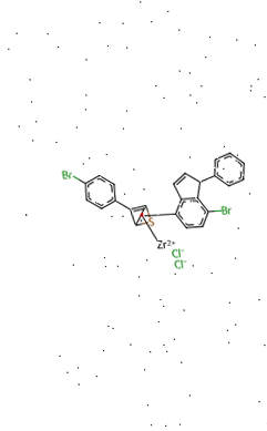 Brc1ccc(C2=C3SC2=[C]([Zr+2])C3c2ccc(Br)c3c2C=CC3c2ccccc2)cc1.[Cl-].[Cl-]